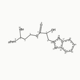 CCCCCC(CCOC(=O)C(O)Cn1nc2ccccc2n1)C(C)(C)C